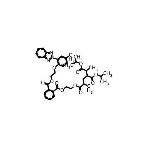 Cc1ccc(OCCOC(=O)c2ccccc2C(=O)OCCOC(=O)C(C)CC(C(=O)OC(C)C)C(C)C(=O)OC(C)C)c(-n2nc3ccccc3n2)c1